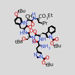 CCOC(=O)[C@H](CC(C)C)NC(=O)[C@@H](C)NC(=O)[C@H](Cc1ccc(OC(C)(C)C)cc1)NC(=O)[C@H](COC(C)(C)C)NC(=O)[C@H](Cc1cn(C(=O)OC(C)(C)C)c2ccccc12)NC(=O)[C@@H](N)Cc1cn(C(=O)OC(C)(C)C)cn1